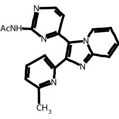 CC(=O)Nc1nccc(-c2c(-c3cccc(C)n3)nc3ccccn23)n1